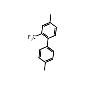 Cc1ccc(-c2ccc(C)cc2C(F)(F)F)cc1